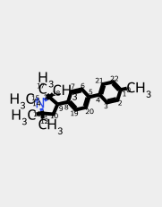 Cc1ccc(-c2ccc(C3CC(C)(C)N(C)C3(C)C)cc2)cc1